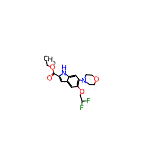 CCOC(=O)c1cc2cc(OCC(F)F)c(N3CCOCC3)cc2[nH]1